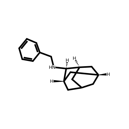 c1ccc(CN[C@H]2[C@@H]3CC4C[C@@H](C3)C[C@@H]2C4)cc1